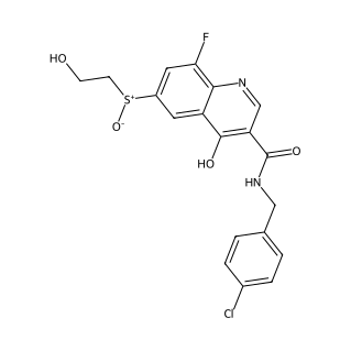 O=C(NCc1ccc(Cl)cc1)c1cnc2c(F)cc([S+]([O-])CCO)cc2c1O